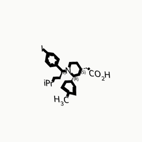 CC1=CCC([C@H]2C[C@@H](CC(=O)O)CCN2[C@@H](CCC(C)C)c2ccc(I)cc2)C=C1